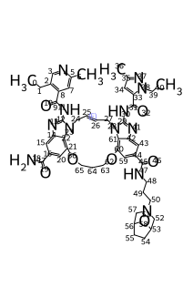 CCc1cnc(C)cc1C(=O)Nc1nc2cc(C(N)=O)cc3c2n1C/C=C/Cn1c(NC(=O)c2cc(C)nn2CC)nc2cc(C(=O)NCCCN4CC5CCC(C4)O5)cc(c21)OCCCO3